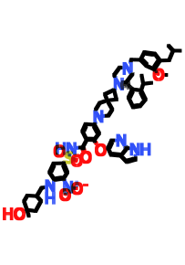 COc1cc(CN2CCN(C3CC4(CCN(c5ccc(C(=O)NS(=O)(=O)c6ccc(NCC7CCC(C)(O)CC7)c([N+](=O)[O-])c6)c(Oc6cnc7[nH]ccc7c6)c5)CC4)C3)[C@H](c3ccccc3C(C)C)C2)ccc1CC(C)C